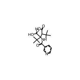 CC(C)(C)C(C(=O)O)C(NC(=O)c1cccnc1)(C(=O)O)C(C)(C)C